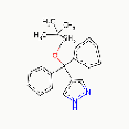 CC(C)(C)[SiH2]OC(c1ccccc1)(c1ccccc1)c1cn[nH]c1